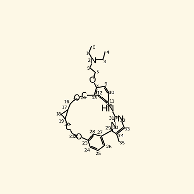 CCN(CC)CCOc1ccc2cc1COCC1CC1CCOc1cccc(c1)-c1nc(ncc1C)N2